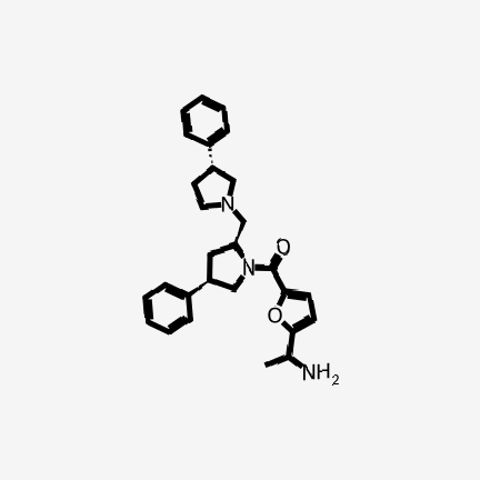 CC(N)c1ccc(C(=O)N2C[C@@H](c3ccccc3)C[C@H]2CN2CC[C@H](c3ccccc3)C2)o1